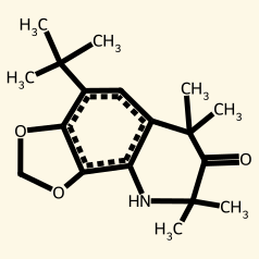 CC1(C)Nc2c(cc(C(C)(C)C)c3c2OCO3)C(C)(C)C1=O